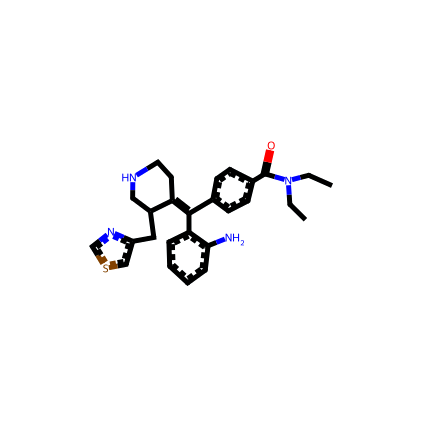 CCN(CC)C(=O)c1ccc(C(=C2CCNCC2Cc2cscn2)c2ccccc2N)cc1